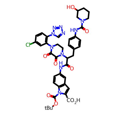 CC(C)(C)OC(=O)n1c(C(=O)O)cc2cc(NC(=O)C(Cc3ccc(NC(=O)N4CCCC(O)C4)cc3)N3CCN(c4cc(Cl)ccc4-n4cnnn4)C(=O)C3=O)ccc21